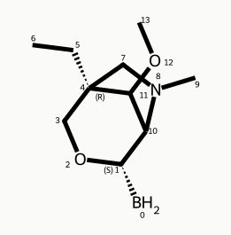 B[C@@H]1OC[C@@]2(CC)CN(C)C1C2OC